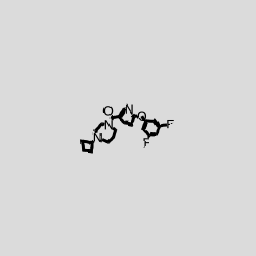 O=C(c1ccc(Oc2cc(F)cc(F)c2)nc1)N1CCCN(C2CCC2)CC1